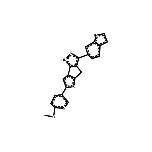 COc1ccc(-c2cc3c(s2)Cc2c(-c4ccc5cc[nH]c5c4)n[nH]c2-3)cn1